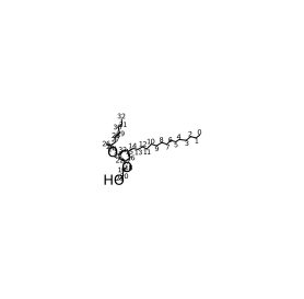 CCCCCCCCCCCCCCCc1cc(OCCO)cc(OC(C)CCCCCC)c1